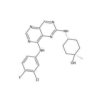 C[C@]1(O)CC[C@H](Nc2ncc3ncnc(Nc4ccc(F)c(Cl)c4)c3n2)CC1